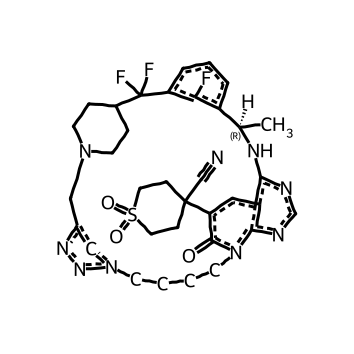 C[C@H]1Nc2ncnc3c2cc(C2(C#N)CCS(=O)(=O)CC2)c(=O)n3CCCCn2cc(nn2)CN2CCC(CC2)C(F)(F)c2cccc1c2F